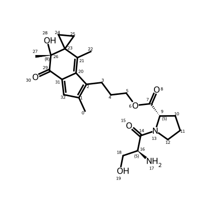 CC1=C(CCCOC(=O)[C@@H]2CCCN2C(=O)[C@@H](N)CO)C2=C(C)C3(CC3)[C@@](C)(O)C(=O)C2=C1